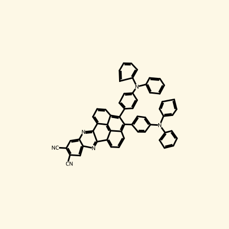 N#Cc1cc2nc3c4cccc5c(-c6ccc(N(c7ccccc7)c7ccccc7)cc6)c(-c6ccc(N(c7ccccc7)c7ccccc7)cc6)c6cccc(c3nc2cc1C#N)c6c54